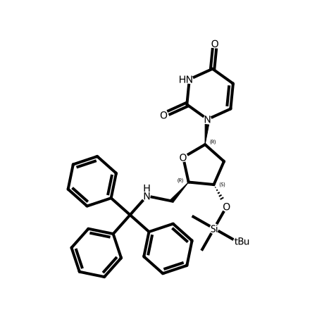 CC(C)(C)[Si](C)(C)O[C@H]1C[C@H](n2ccc(=O)[nH]c2=O)O[C@@H]1CNC(c1ccccc1)(c1ccccc1)c1ccccc1